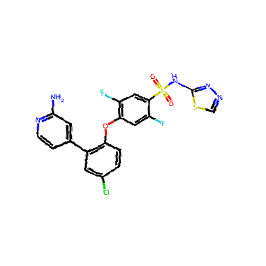 Nc1cc(-c2cc(Cl)ccc2Oc2cc(F)c(S(=O)(=O)Nc3nncs3)cc2F)ccn1